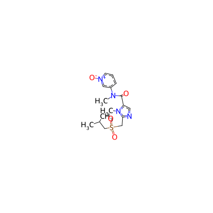 CC(C)CS(=O)(=O)Cc1ncc(C(=O)N(C)c2ccc[n+]([O-])c2)n1C